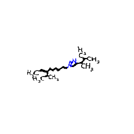 CCC(CCCCCCn1cc(C(C)C(C)C)nn1)C(C)C